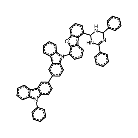 c1ccc(C2=NC(c3ccccc3)NC(c3cccc4oc5c(-n6c7ccccc7c7cc(-c8ccc9c(c8)c8ccccc8n9-c8ccccc8)ccc76)cccc5c34)N2)cc1